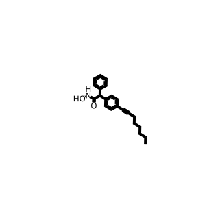 CCCCCCC#Cc1ccc(C(C(=O)NO)c2ccccc2)cc1